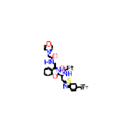 CCC(=O)NC(Cc1nc2ccc(C(C)C)cc2s1)C(=O)NC(CNC(=O)CN1CCOCC1)C1CCCCC1